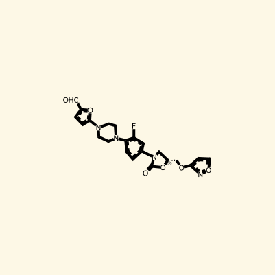 O=Cc1ccc(N2CCN(c3ccc(N4C[C@H](COc5ccon5)OC4=O)cc3F)CC2)o1